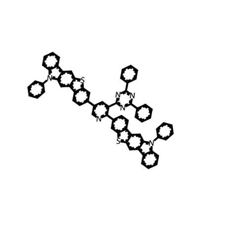 c1ccc(-c2nc(-c3ccccc3)nc(-c3cc(-c4ccc5c(c4)sc4cc6c7ccccc7n(-c7ccccc7)c6cc45)cnc3-c3ccc4c(c3)sc3cc5c6ccccc6n(-c6ccccc6)c5cc34)n2)cc1